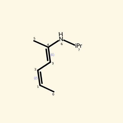 C/C=C\C=C(/C)NC(C)C